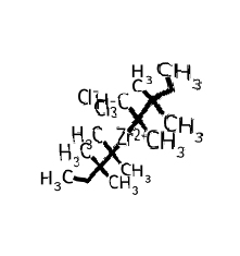 CCC(C)(C)[C](C)(C)[Zr+2][C](C)(C)C(C)(C)CC.[Cl-].[Cl-]